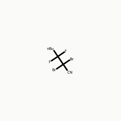 CCCCC(F)(F)C(Br)(Br)C#N